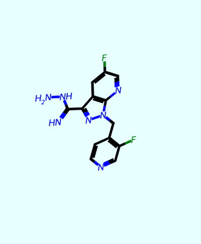 N=C(NN)c1nn(Cc2ccncc2F)c2ncc(F)cc12